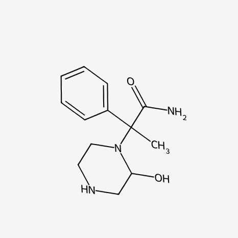 CC(C(N)=O)(c1ccccc1)N1CCNCC1O